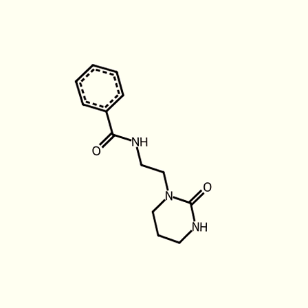 O=C(NCCN1CCCNC1=O)c1ccccc1